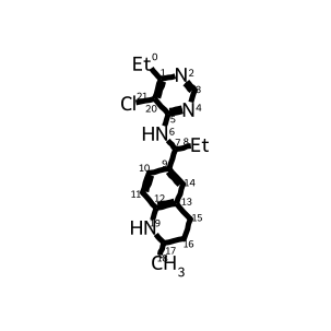 CCc1ncnc(NC(CC)c2ccc3c(c2)CCC(C)N3)c1Cl